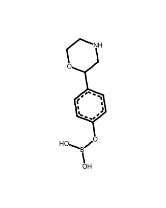 OB(O)Oc1ccc(C2CNCCO2)cc1